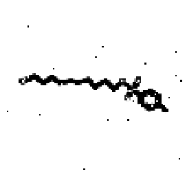 Cc1ccc(S(=O)(=O)OCCCCCCCCCCCl)cc1